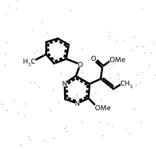 CC=C(C(=O)OC)c1c(OC)ncnc1Oc1cccc(C)c1